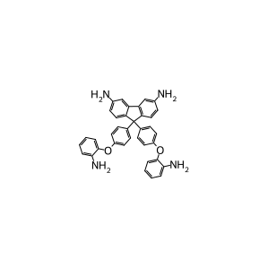 Nc1ccc2c(c1)-c1cc(N)ccc1C2(c1ccc(Oc2ccccc2N)cc1)c1ccc(Oc2ccccc2N)cc1